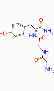 NCC(=O)NCC(=O)N[C@@H](Cc1ccc(O)cc1)C(N)=O